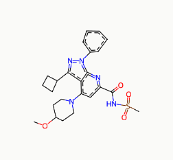 COC1CCN(c2cc(C(=O)NS(C)(=O)=O)nc3c2c(C2CCC2)nn3-c2ccccc2)CC1